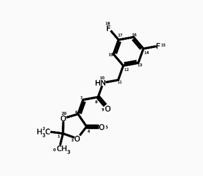 CC1(C)OC(=O)C(=CC(=O)NCc2cc(F)cc(F)c2)O1